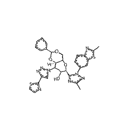 Cc1nc([C@@H]2OC3COC(c4ccccc4)O[C@@H]3C(n3cc(-c4nccs4)nn3)C2O)n(-c2ccc3nc(C)sc3c2)n1